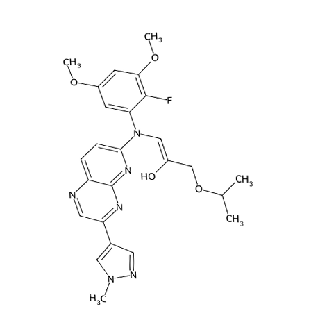 COc1cc(OC)c(F)c(N(/C=C(\O)COC(C)C)c2ccc3ncc(-c4cnn(C)c4)nc3n2)c1